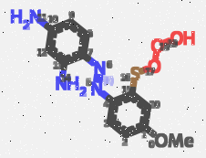 COc1ccc(/N=N/c2ccc(N)cc2N)c(SOOO)c1